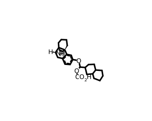 O=C(O)OC(Oc1ccc2c(c1)[C@@]13CCCC[C@H]1[C@@H](C2)NCC3)C1CCC2CCCCC2C1